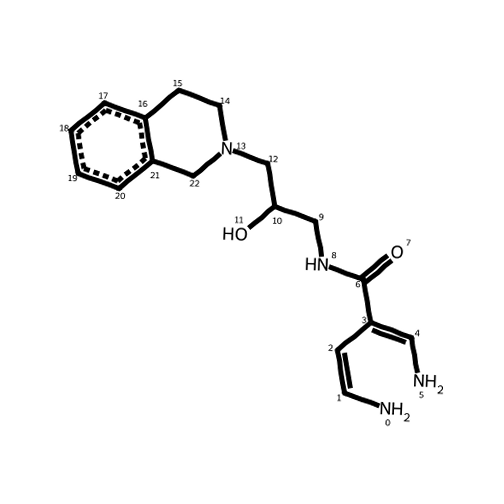 N/C=C\C(=C/N)C(=O)NCC(O)CN1CCc2ccccc2C1